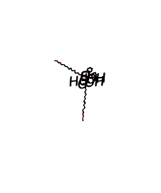 CCCCCCCCC=CCCCCCCCC(=O)C(O)C(O)(C(=O)CCCCCCCC=CCCCCCCCC)C(O)[Si](c1ccccc1)(c1ccccc1)C(C)(C)C